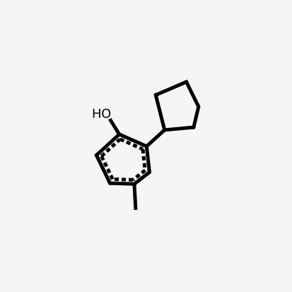 Cc1ccc(O)c(C2CCCC2)c1